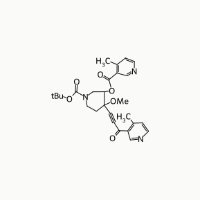 COC1(C#CC(=O)c2cnccc2C)CCN(C(=O)OC(C)(C)C)CC1OC(=O)c1cnccc1C